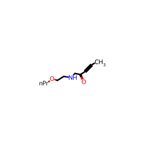 CC#CC(=O)CNCCOCCC